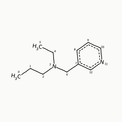 CCCN(CC)Cc1cccnc1